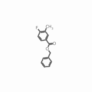 Cc1cc(C(=O)OCc2ccccc2)ccc1F